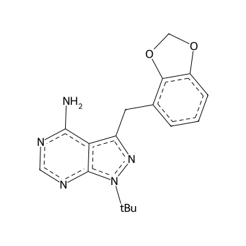 CC(C)(C)n1nc(Cc2cccc3c2OCO3)c2c(N)ncnc21